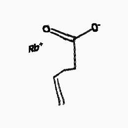 C=CCC(=O)[O-].[Rb+]